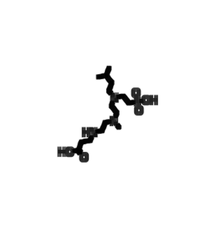 CC(C)CCN(CCN(C)CCNCCC(=O)O)CCS(=O)(=O)O